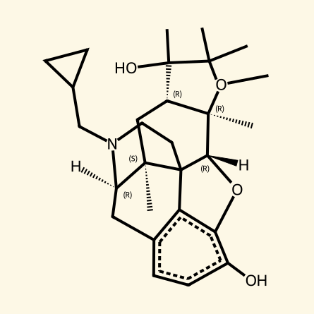 CO[C@]1(C)[C@@H](C(C)(O)C(C)(C)C)C[C@]2(C)[C@H]3Cc4ccc(O)c5c4C2(CCN3CC2CC2)[C@H]1O5